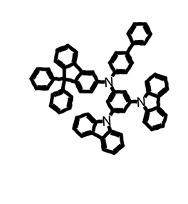 c1ccc(-c2ccc(N(c3cc(-n4c5ccccc5c5ccccc54)cc(-n4c5ccccc5c5ccccc54)c3)c3ccc4c(c3)-c3ccccc3C4(c3ccccc3)c3ccccc3)cc2)cc1